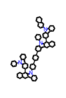 c1ccc(-n2c3ccccc3c3ccc(-c4c5ccccc5cc5c6ccccc6n(-c6ccc(-c7ccc(-c8ccc9c(c8)c8cc%10ccccc%10c(-c%10ccc%11c(c%10)c%10ccccc%10n%11-c%10ccc%11ccccc%11c%10)c8n9-c8ccccc8)cc7)cc6)c45)cc32)cc1